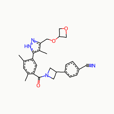 Cc1cc(C)c(-c2[nH]nc(COC3COC3)c2C)cc1C(=O)N1CC(c2ccc(C#N)cc2)C1